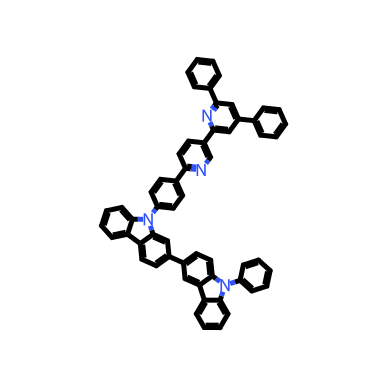 c1ccc(-c2cc(-c3ccccc3)nc(-c3ccc(-c4ccc(-n5c6ccccc6c6ccc(-c7ccc8c(c7)c7ccccc7n8-c7ccccc7)cc65)cc4)nc3)c2)cc1